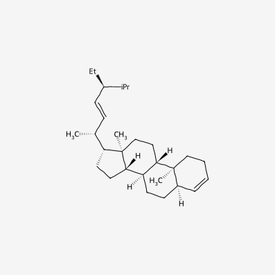 CC[C@H](/C=C/[C@@H](C)[C@H]1CC[C@H]2[C@@H]3CC[C@@H]4C=CCC[C@]4(C)[C@H]3CC[C@]12C)C(C)C